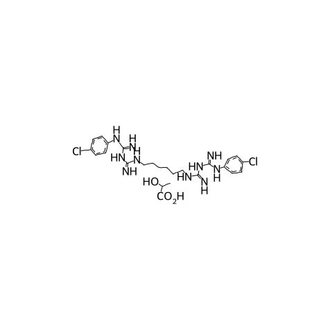 CC(O)C(=O)O.N=C(NCCCCCCNC(=N)NC(=N)Nc1ccc(Cl)cc1)NC(=N)Nc1ccc(Cl)cc1